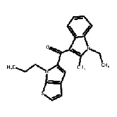 CCCn1c(C(=O)c2c(C)n(CC)c3ccccc23)cc2ccsc21